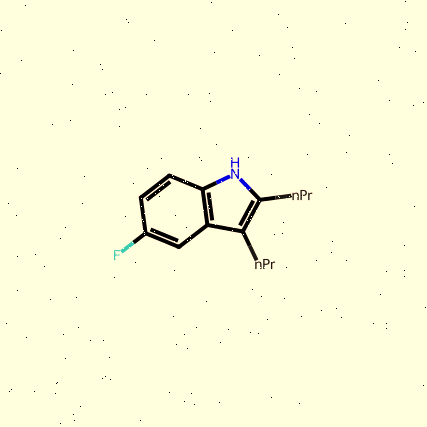 CCCc1[nH]c2ccc(F)cc2c1CCC